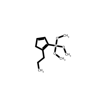 CCCC1=C([Si](OC)(OC)OC)C=CC1